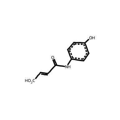 O=C(O)C=CC(=O)Nc1ccc(O)cc1